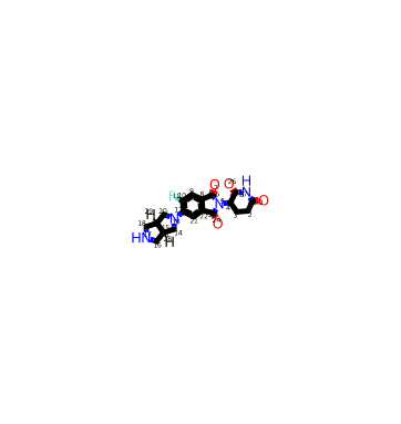 O=C1CCC(N2C(=O)c3cc(F)c(N4C[C@H]5CNC[C@H]5C4)cc3C2=O)C(=O)N1